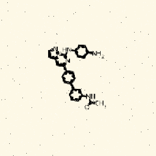 CC(=O)Nc1cccc(-c2ccc(-c3cc4ccnn4c(Nc4ccc(N)cc4)n3)cc2)c1